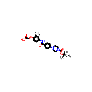 Cc1cc(NC(=O)c2ccc(N3CCN(C(=O)OC(C)(C)C)CC3)cc2)ccc1OCC(=O)O